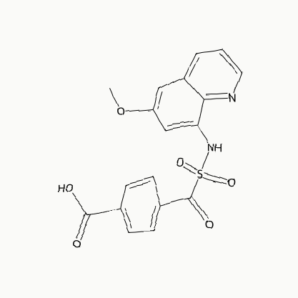 COc1cc(NS(=O)(=O)C(=O)c2ccc(C(=O)O)cc2)c2ncccc2c1